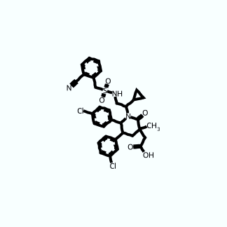 CC1(CC(=O)O)CC(c2cccc(Cl)c2)C(c2ccc(Cl)cc2)N(C(CNS(=O)(=O)Cc2ccccc2C#N)C2CC2)C1=O